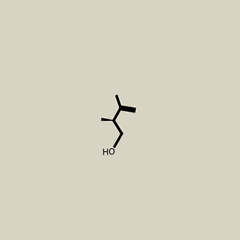 C=C(C)[C@H](C)CO